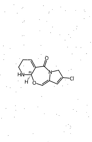 O=C1C2=CCCN[C@@H]2OC=C2C=C(Cl)CN12